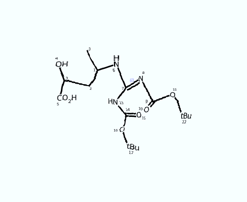 CC(CC(O)C(=O)O)N/C(=N/C(=O)OC(C)(C)C)NC(=O)OC(C)(C)C